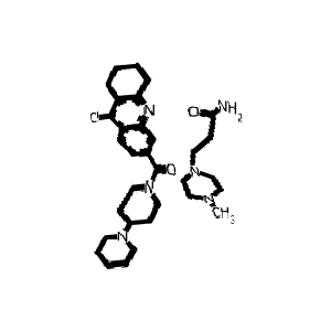 CN1CCN(CCC(N)=O)CC1.O=C(c1ccc2c(Cl)c3c(nc2c1)CCCC3)N1CCC(N2CCCCC2)CC1